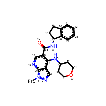 CCn1ncc2c(NC3CCOCC3)c(C(=O)N[C@@H]3CCc4ccccc43)cnc21